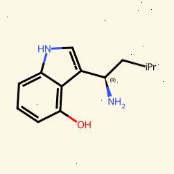 CC(C)C[C@@H](N)c1c[nH]c2cccc(O)c12